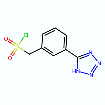 O=S(=O)(Cl)Cc1cccc(-c2nnn[nH]2)c1